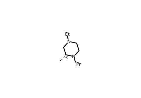 CCN1CCN(C(C)C)[C@H](C)C1